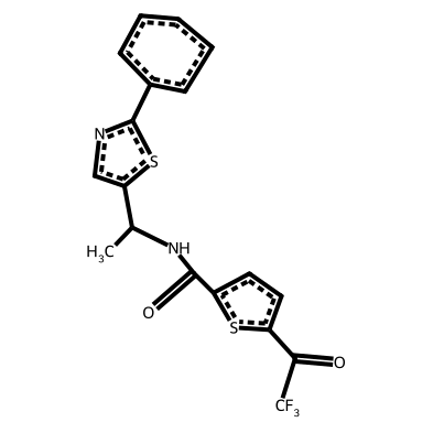 CC(NC(=O)c1ccc(C(=O)C(F)(F)F)s1)c1cnc(-c2ccccc2)s1